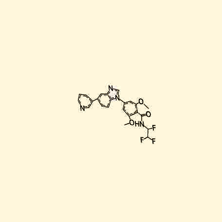 COc1cc(-n2cnc3cc(-c4cccnc4)ccc32)cc(OC)c1C(=O)NC(F)C(F)F